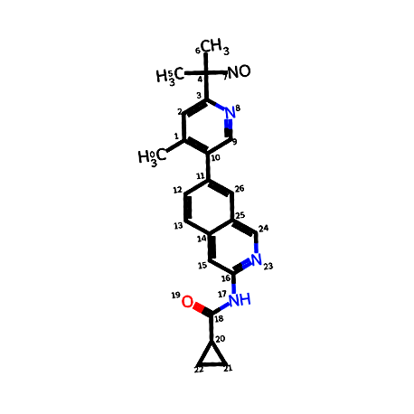 Cc1cc(C(C)(C)N=O)ncc1-c1ccc2cc(NC(=O)C3CC3)ncc2c1